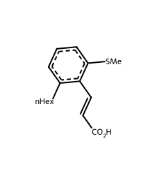 CCCCCCc1cccc(SC)c1/C=C/C(=O)O